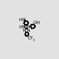 Oc1cccc(Nc2nc3ccc(C(F)(F)F)cc3nc2Nc2cccc(O)c2)c1